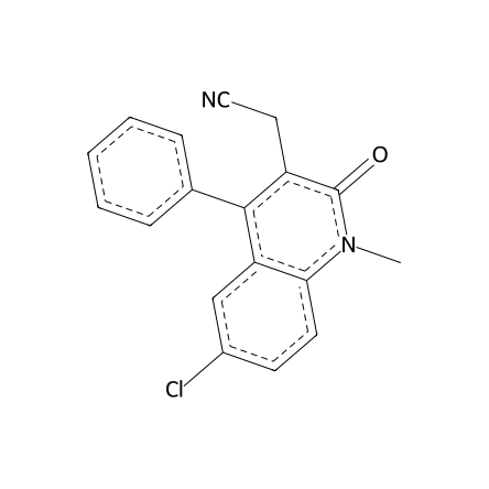 Cn1c(=O)c(CC#N)c(-c2ccccc2)c2cc(Cl)ccc21